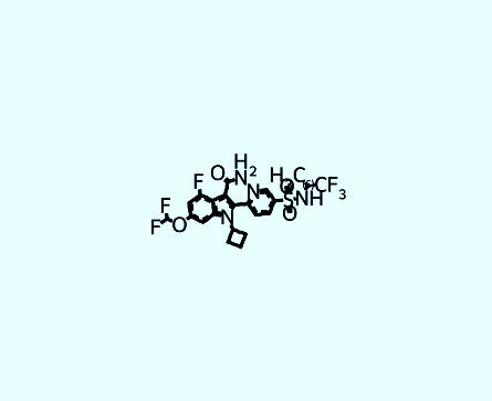 C[C@H](NS(=O)(=O)c1ccc(-c2c(C(N)=O)c3c(F)cc(OC(F)F)cc3n2C2CCC2)nc1)C(F)(F)F